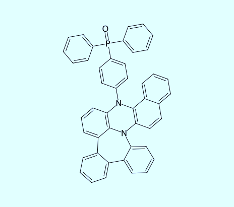 O=P(c1ccccc1)(c1ccccc1)c1ccc(N2c3cccc4c3N(c3ccccc3-c3ccccc3-4)c3ccc4ccccc4c32)cc1